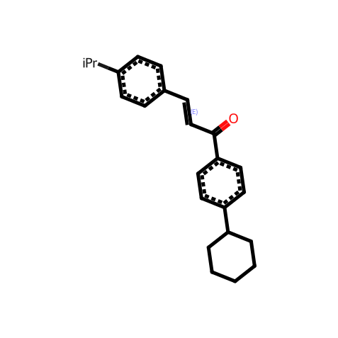 CC(C)c1ccc(/C=C/C(=O)c2ccc(C3CCCCC3)cc2)cc1